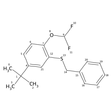 CC(C)(C)c1ccc(OC(F)F)c(SCc2ccccc2)c1